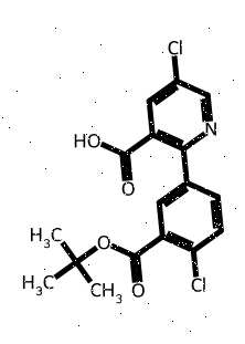 CC(C)(C)OC(=O)c1cc(-c2ncc(Cl)cc2C(=O)O)ccc1Cl